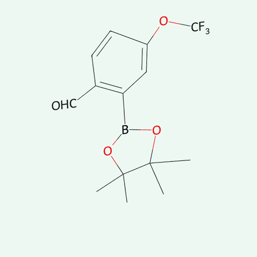 CC1(C)OB(c2cc(OC(F)(F)F)ccc2C=O)OC1(C)C